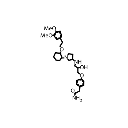 COc1ccc(CCO[C@@H]2CCCC[C@H]2N2CCC(NCC(O)COc3ccc(CC(N)=O)cc3)C2)cc1OC